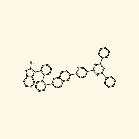 CCc1nc2ccccc2n1-c1ccccc1-c1ccccc1-c1ccc2cc(-c3ccc(-c4nc(-c5ccccc5)nc(-c5ccccc5)n4)cn3)ccc2c1